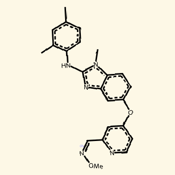 CO/N=C\c1cc(Oc2ccc3c(c2)nc(Nc2ccc(C)cc2C)n3C)ccn1